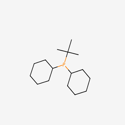 CC(C)(C)P(C1CCCCC1)C1CCCCC1